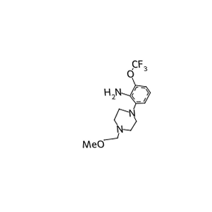 COCCN1CCN(c2cccc(OC(F)(F)F)c2N)CC1